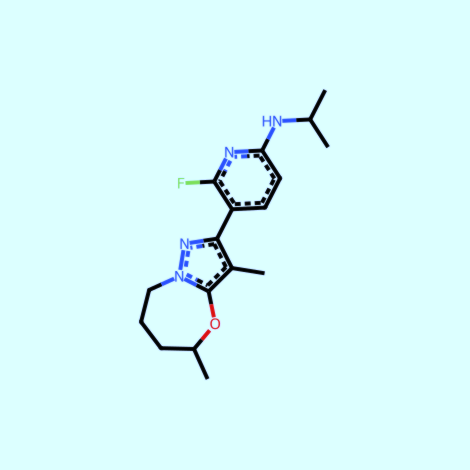 Cc1c(-c2ccc(NC(C)C)nc2F)nn2c1OC(C)CCC2